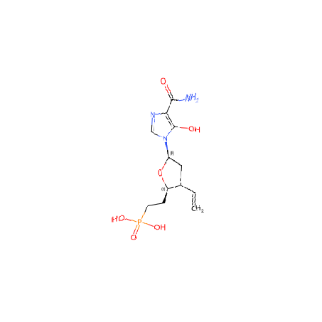 C=CC1C[C@H](n2cnc(C(N)=O)c2O)O[C@@H]1CCP(=O)(O)O